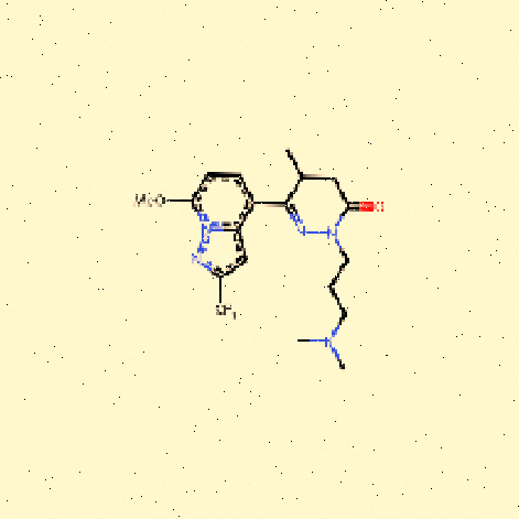 COc1ccc(C2=NN(CCCN(C)C)C(=O)CC2C)c2cc(C(F)(F)F)nn12